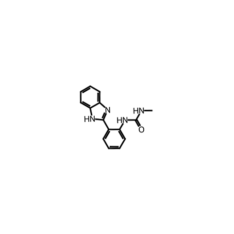 CNC(=O)Nc1ccccc1-c1nc2ccccc2[nH]1